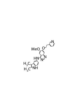 COc1cc2c(Nc3ccc4[nH]c(C)c(C)c4c3)ncnc2cc1OCCc1cccnc1